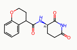 O=C1CC[C@@H](NC(=O)C2CCOc3ccccc32)C(=O)N1